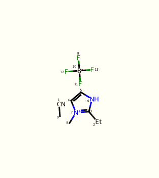 CC#N.CCc1[nH]cc[n+]1C.F[B-](F)(F)F